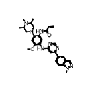 C=CC(=O)Nc1cc(Nc2cc(-c3ccc4c(cnn4C)c3)ncn2)c(OC)cc1N1CC(C)N(C)C(C)C1